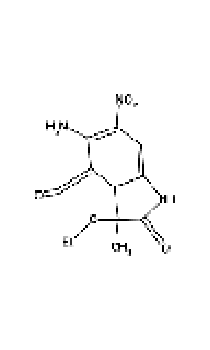 CCOC1(C)C(=O)NC2=CC([N+](=O)[O-])=C(N)C(=C=O)C21